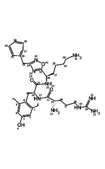 Cc1cc(O)cc(C)c1C[C@H](NC(=O)[C@@H](N)CCCNC(=N)N)C(=O)N[C@H](CCCCN)c1nc(Cc2ccccc2)no1